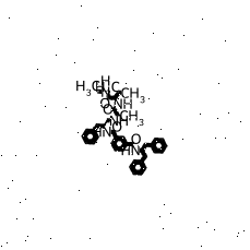 CCNC(=O)[C@@H](NC(=O)[C@H](C)NC[C@H](Cc1ccccc1)NC(=O)c1cccc(C(=O)NC(Cc2ccccc2)Cc2ccccc2)c1)C(C)C